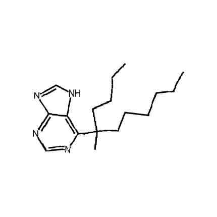 CCCCCCC(C)(CCCC)c1ncnc2nc[nH]c12